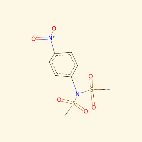 CS(=O)(=O)N(c1ccc([N+](=O)[O-])cc1)S(C)(=O)=O